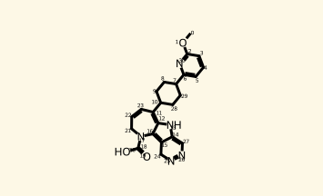 COc1cccc(C2CCC(C3=c4[nH]c5c(c4N(C(=O)O)CC=C3)CN=NC=5)CC2)n1